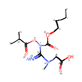 CCCCOC(=O)N(OC(=O)C(C)C)C(=N)N(C)CC(=O)O